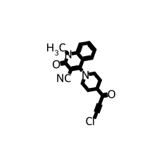 Cn1c(=O)c(C#N)c(N2CCC(C(=O)C#CCl)CC2)c2ccccc21